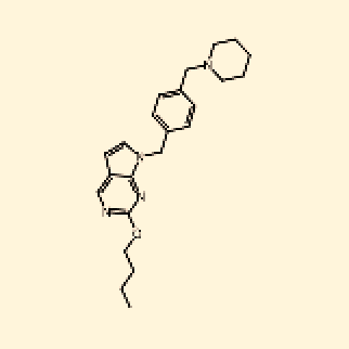 CCCCOc1ncc2ccn(Cc3ccc(CN4CCCCC4)cc3)c2n1